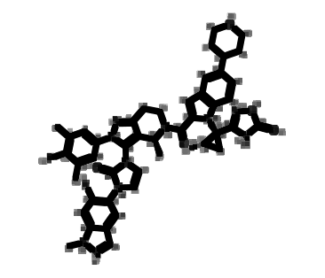 Cc1cc(-n2nc3c(c2-n2ccn(-c4cc5cnn(C)c5cc4F)c2=O)[C@H](C)N(C(=O)c2cc4cc(C5CCOCC5)ccc4n2[C@@]2(c4noc(=O)[nH]4)C[C@@H]2C)CC3)cc(C)c1F